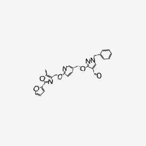 Cc1oc(-c2ccco2)nc1COc1ccc(COc2nn(Cc3ccccc3)cc2C=O)cn1